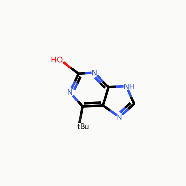 CC(C)(C)c1nc(O)nc2[nH]cnc12